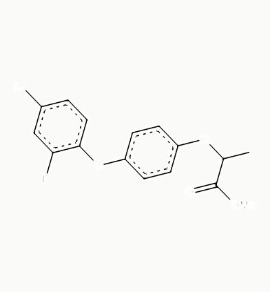 COC(=O)C(C)Oc1ccc(Oc2ccc(Br)cc2F)cc1